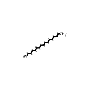 [CH2]C=CCCCCCCCCCCCCCC(C)C